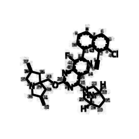 C#Cc1c(Cl)ccc2cccc(-c3ncc4c(N5C[C@H]6CC[C@@H](C5)N6)nc(OCC56CC(=C)CN5CC(=C)C6)nc4c3F)c12